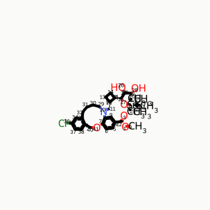 COC(=O)c1ccc2c(c1)N(C[C@@H]1CC[C@H]1C(O[Si](C)(C)C(C)(C)C)[C@H](O)CO)CCCCc1cc(Cl)ccc1CO2